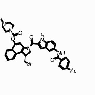 CC(=O)c1ccc(C(=O)Nc2ccc3[nH]c(C(=O)N4C[C@@H](CBr)c5c4cc(OC(=O)N4CCN(C)CC4)c4ccccc54)cc3c2)cc1